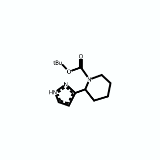 CC(C)(C)OC(=O)N1CCCCC1c1cc[nH]n1